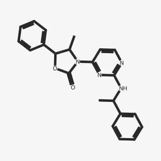 CC(Nc1nccc(N2C(=O)OC(c3ccccc3)C2C)n1)c1ccccc1